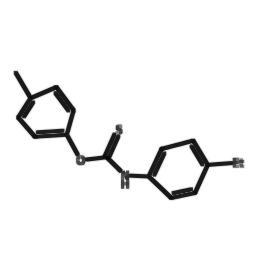 CCc1ccc(NC(=S)Oc2ccc(C)cc2)cc1